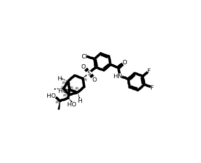 C[C@@H](O)[C@@H](O)[C@@]1(O)[C@H]2C[C@@H](S(=O)(=O)c3cc(C(=O)Nc4ccc(F)c(F)c4)ccc3Cl)C[C@@H]1[C@@H](C)C2